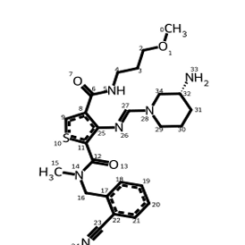 COCCCNC(=O)c1csc(C(=O)N(C)Cc2ccccc2C#N)c1/N=C/N1CCC[C@@H](N)C1